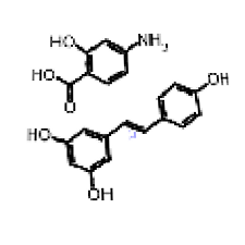 Nc1ccc(C(=O)O)c(O)c1.Oc1ccc(/C=C/c2cc(O)cc(O)c2)cc1